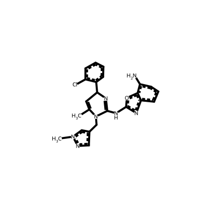 CC1=CC(c2ccccc2Cl)N=C(Nc2nc3cccc(N)c3o2)N1Cc1cnn(C)c1